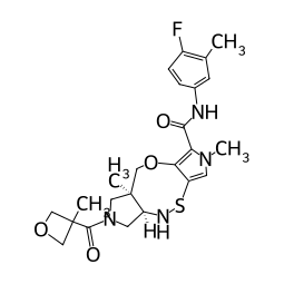 Cc1cc(NC(=O)c2c3c(cn2C)SN[C@H]2CN(C(=O)C4(C)COC4)C[C@@]2(C)CO3)ccc1F